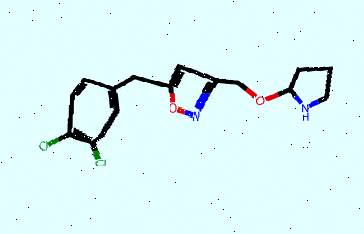 Clc1ccc(Cc2cc(COC3CCCN3)no2)cc1Cl